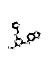 CCOc1nc(NCc2ccco2)nc(Nc2ccc3ncsc3c2)n1